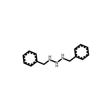 c1ccc(CNNNCc2ccccc2)cc1